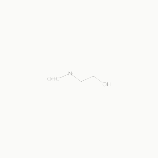 O=C[N]CCO